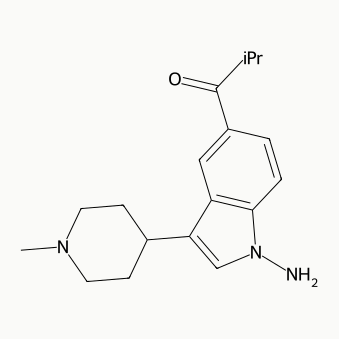 CC(C)C(=O)c1ccc2c(c1)c(C1CCN(C)CC1)cn2N